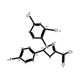 O=C(Cl)C1=NN(c2ccc(Cl)cc2Cl)C(c2ccc(F)cc2)C1